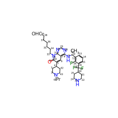 CC(C)N1CCC(c2cc3c(N[C@H](C)c4cccc(C(F)(F)C5CCNCC5)c4F)ncnc3n(CCCCCCC=O)c2=O)CC1